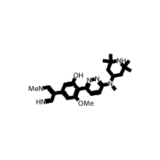 CN/C=C(\C=N)c1cc(O)c(-c2ccc(N(C)C3CC(C)(C)NC(C)(C)C3)nn2)c(OC)c1